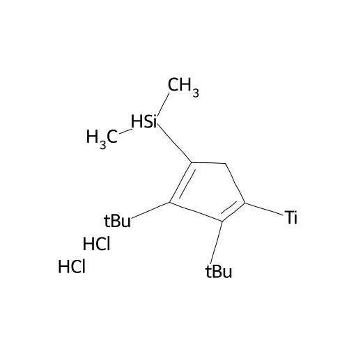 C[SiH](C)C1=C(C(C)(C)C)C(C(C)(C)C)=[C]([Ti])C1.Cl.Cl